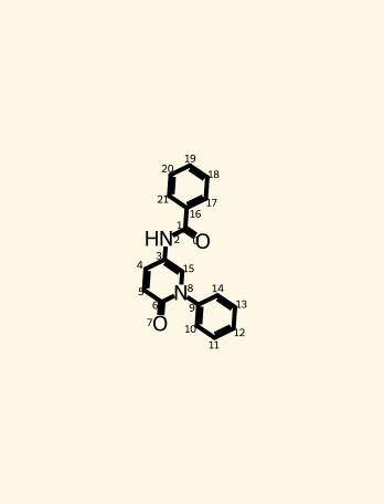 O=C(Nc1ccc(=O)n(-c2ccccc2)c1)c1ccccc1